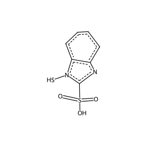 O=S(=O)(O)c1nc2ccccc2n1S